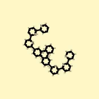 c1ccc(-c2cccc(-c3cccc(-c4ccc5c6ccc(-c7cccc(-c8cccc(-c9ccccn9)n8)n7)cc6c6ccccc6c5c4)n3)n2)nc1